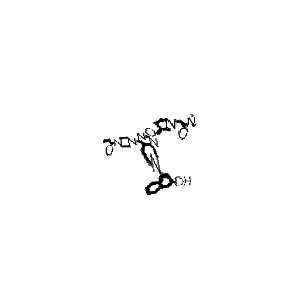 C=CC(=O)N1CCN(c2nc(OCC3CCN(CC(=O)N(C)C)C3)nc3c2CCN(c2cc(O)cc4ccccc24)C3)CC1